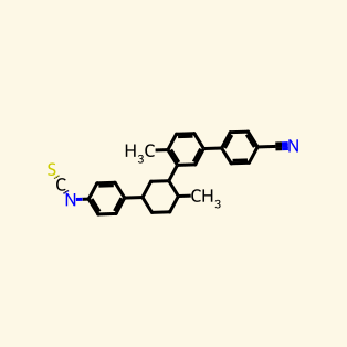 Cc1ccc(-c2ccc(C#N)cc2)cc1C1CC(c2ccc(N=C=S)cc2)CCC1C